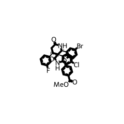 COC(=O)c1ccc(Oc2ccc(Br)cc2[C@@H]2NC(=O)C[C@H](c3cccc(F)c3)[C@@]23C(=O)Nc2cc(Cl)ccc23)cc1